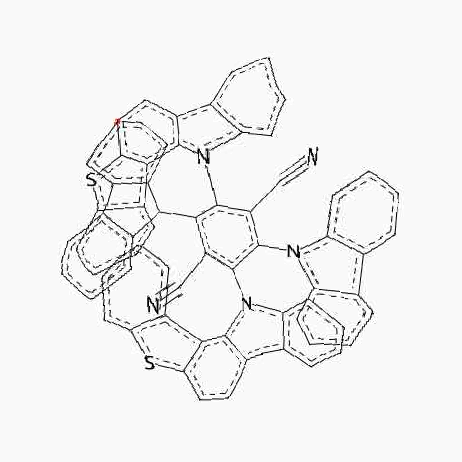 N#Cc1c(-n2c3ccccc3c3ccccc32)c(-n2c3ccccc3c3ccc4sc5ccccc5c4c32)c(C#N)c(C2c3ccccc3-c3ccccc32)c1-n1c2ccccc2c2ccc3sc4ccccc4c3c21